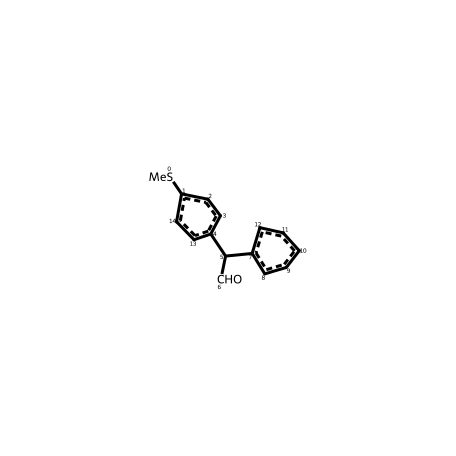 CSc1ccc(C(C=O)c2ccccc2)cc1